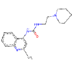 Cc1cc(NC(=O)NCCN2CC[CH]CC2)c2ccccc2n1